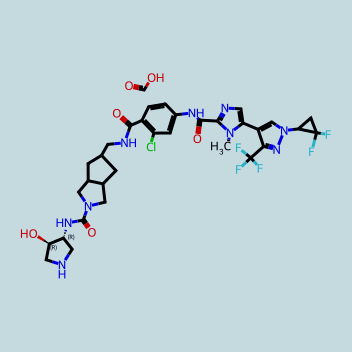 Cn1c(-c2cn(C3CC3(F)F)nc2C(F)(F)F)cnc1C(=O)Nc1ccc(C(=O)NCC2CC3CN(C(=O)N[C@@H]4CNC[C@H]4O)CC3C2)c(Cl)c1.O=CO